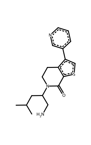 CC(C)CC(CN)N1CCc2c(-c3cccnc3)csc2C1=O